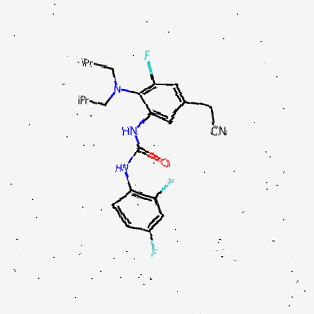 CC(C)CN(CC(C)C)c1c(F)cc(CC#N)cc1NC(=O)Nc1ccc(F)cc1F